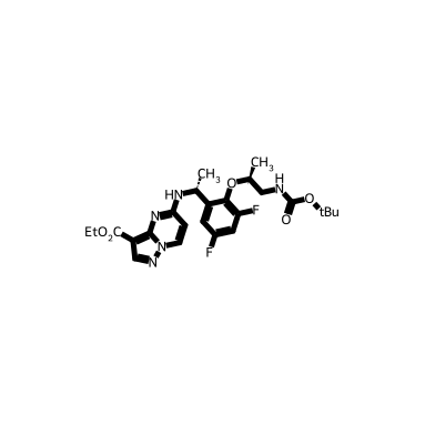 CCOC(=O)c1cnn2ccc(N[C@H](C)c3cc(F)cc(F)c3O[C@@H](C)CNC(=O)OC(C)(C)C)nc12